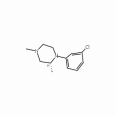 C[C@@H]1CN(C)CCN1c1cccc(Cl)c1